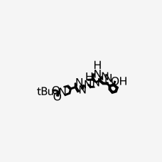 CC(C)(C)OC(=O)N1CC=C(c2cnc(N3CCN4c5cc(-c6ccccc6O)nnc5NC[C@@H]4C3)nc2)CC1